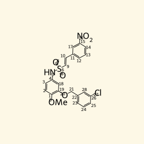 COc1ccc(NS(=O)(=O)/C=C/c2cccc([N+](=O)[O-])c2)cc1OCc1cccc(Cl)c1